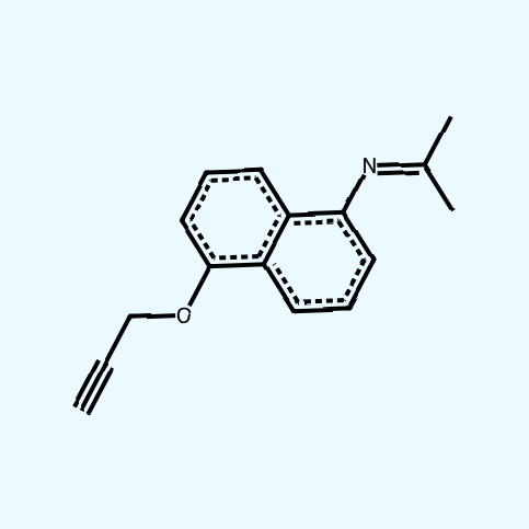 C#CCOc1cccc2c(N=C(C)C)cccc12